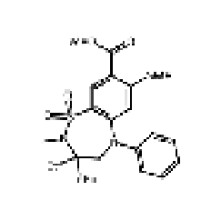 CCCCC1(CC)CN(c2ccccc2)c2cc(SC)c(C(=O)OC)cc2S(=O)(=O)N1C